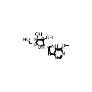 COc1ncnc2nc([C@@H]3O[C@H](CO)[C@H](O)[C@H]3O)[nH]c12